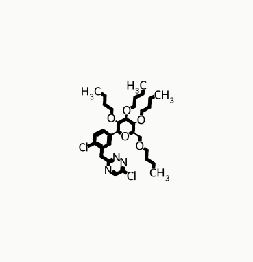 CCCCOC[C@H]1O[C@@H](c2ccc(Cl)c(Cc3ncc(Cl)nn3)c2)[C@H](OCCCC)[C@@H](OCCCC)[C@@H]1OCCCC